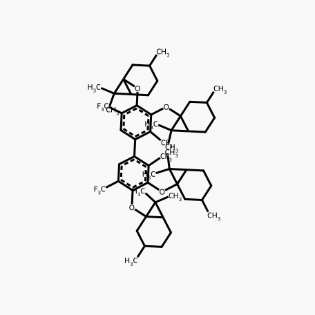 CC1CCC2C(C)(C)C2(Oc2c(C(F)(F)F)cc(-c3cc(C(F)(F)F)c(OC45CC(C)CCC4C5(C)C)c(OC45CC(C)CCC4C5(C)C)c3C(F)(F)F)c(C(F)(F)F)c2OC23CC(C)CCC2C3(C)C)C1